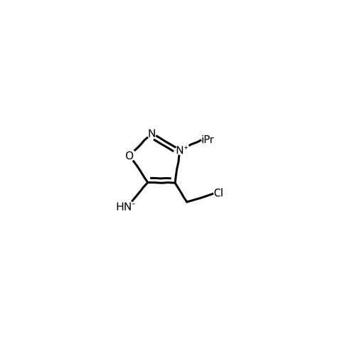 CC(C)[n+]1noc([NH-])c1CCl